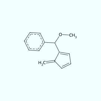 C=C1C=CC=C1C(OC)c1ccccc1